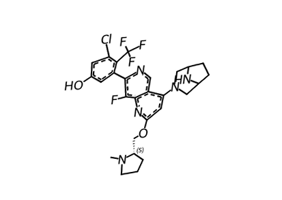 CN1CCC[C@H]1COc1cc(N2CC3CCC(C2)N3)c2cnc(-c3cc(O)cc(Cl)c3C(F)(F)F)c(F)c2n1